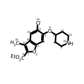 CCOC(=O)c1oc2cc(OC3CCNCC3)c(Cl)cc2c1C